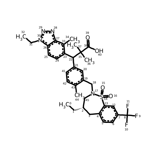 CC[C@H]1Cc2ccc(C(F)(F)F)cc2S(=O)(=O)N(Cc2cc(C(c3ccc4c(nnn4CC)c3C)C(C)(C)C(=O)O)ccc2C)C1